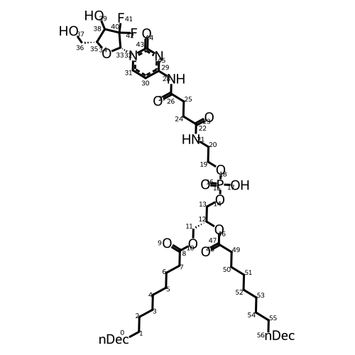 CCCCCCCCCCCCCCCCCC(=O)OC[C@H](COP(=O)(O)OCCNC(=O)CCC(=O)Nc1ccn([C@@H]2O[C@H](CO)C(O)C2(F)F)c(=O)n1)OC(=O)CCCCCCCCCCCCCCCCC